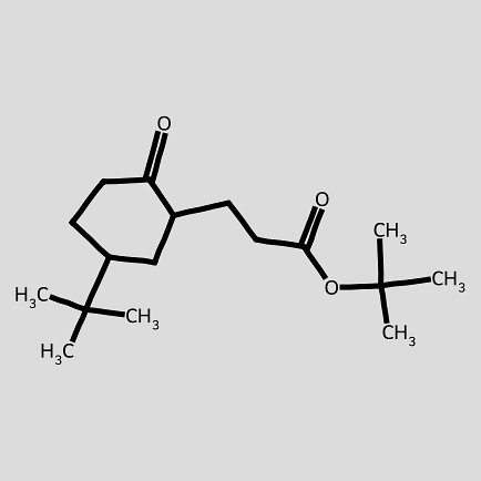 CC(C)(C)OC(=O)CCC1CC(C(C)(C)C)CCC1=O